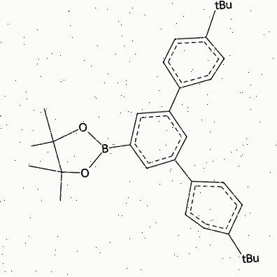 CC(C)(C)c1ccc(-c2cc(B3OC(C)(C)C(C)(C)O3)cc(-c3ccc(C(C)(C)C)cc3)c2)cc1